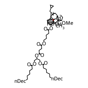 CCCCCCCCCCCCCCCC(=O)OCC(COC(=O)CCCCCCCCCCCCCCC)OC(=O)CCC(=O)OCCCCC(=O)Oc1ccc2c3c1O[C@H]1[C@@]4(OC)CC[C@@]5(C[C@@H]4[C@](C)(O)C(C)(C)C)C(C2)N(CC2CC2)CC[C@]315